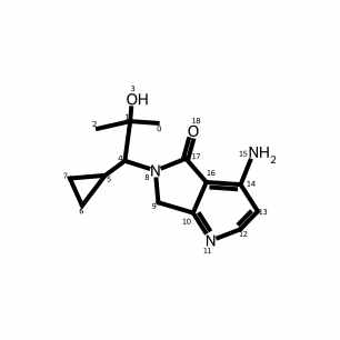 CC(C)(O)C(C1CC1)N1Cc2nccc(N)c2C1=O